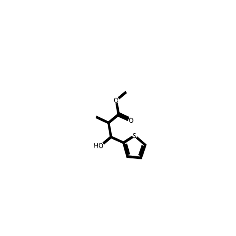 COC(=O)C(C)C(O)c1cccs1